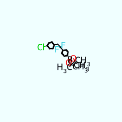 CC1(C)OB(c2ccc(C(F)(F)Cc3ccc(Cl)cc3)cc2)OC1(C)C